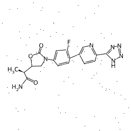 C[C@H](C(N)=O)C1CN(c2ccc(-c3ccc(-c4nnn[nH]4)nc3)c(F)c2)C(=O)O1